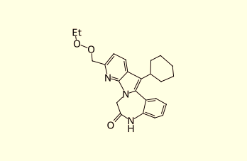 CCOOCc1ccc2c(C3CCCCC3)c3n(c2n1)CC(=O)Nc1ccccc1-3